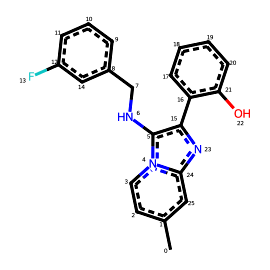 Cc1ccn2c(NCc3cccc(F)c3)c(-c3ccccc3O)nc2c1